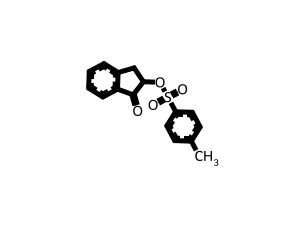 Cc1ccc(S(=O)(=O)OC2Cc3ccccc3C2=O)cc1